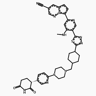 CNc1cc(-c2ccc3cc(C#N)cnn23)ncc1-c1nnc(C2CCC(CN3CCN(c4ccc([C@H]5CCC(=O)NC5=O)cn4)CC3)CC2)s1